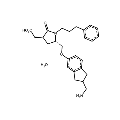 NCC1Cc2ccc(OC[C@@H]3C[C@@H](CC(=O)O)C(=O)N3CCCc3ccccc3)cc2C1.O